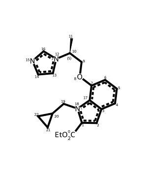 CCOC(=O)c1cc2cccc(OC[C@H](C)n3ccnc3)c2n1CC1CC1